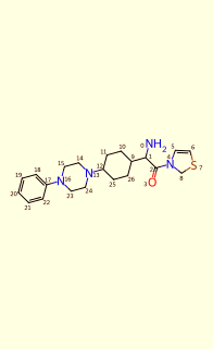 NC(C(=O)N1C=CSC1)C1CCC(N2CCN(c3ccccc3)CC2)CC1